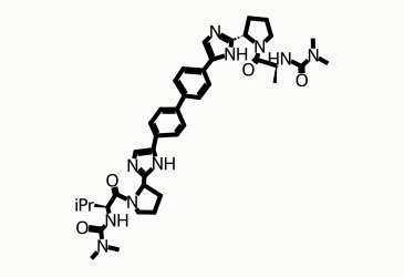 CC(C)[C@H](NC(=O)N(C)C)C(=O)N1CCCC1c1ncc(-c2ccc(-c3ccc(-c4cnc([C@@H]5CCCN5C(=O)[C@H](C)NC(=O)N(C)C)[nH]4)cc3)cc2)[nH]1